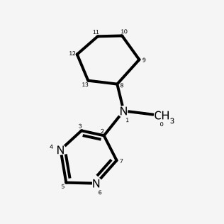 CN(c1cncnc1)C1CCCCC1